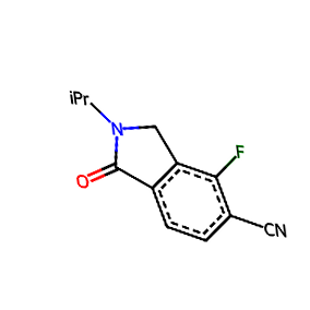 CC(C)N1Cc2c(ccc(C#N)c2F)C1=O